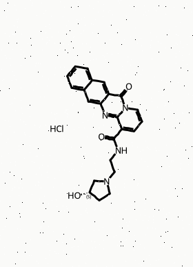 Cl.O=C(NCCN1CC[C@H](O)C1)c1cccn2c(=O)c3cc4ccccc4cc3nc12